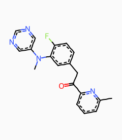 Cc1cccc(C(=O)Cc2ccc(F)c(N(C)c3cncnc3)c2)n1